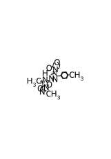 Cc1ccc(C2=NN(C(=O)N[C@H](C)c3nc(C)no3)C[C@H]2N2CCOCC2=O)cc1